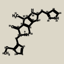 COc1scnc1CN1NCc2c3c(n(C)c2C1=O)NC(Cc1cc[nH]n1)S3